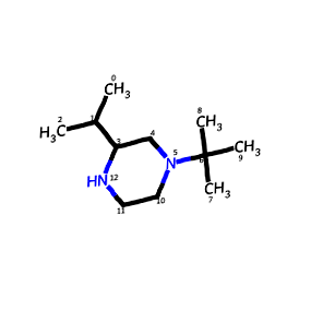 CC(C)C1CN(C(C)(C)C)CCN1